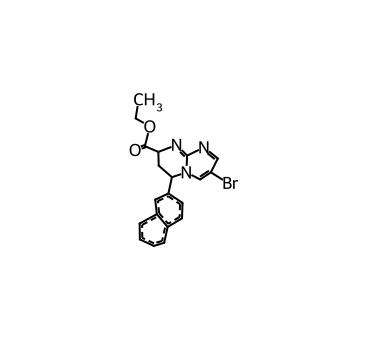 CCOC(=O)C1CC(c2ccc3ccccc3c2)N2C=C(Br)C=NC2=N1